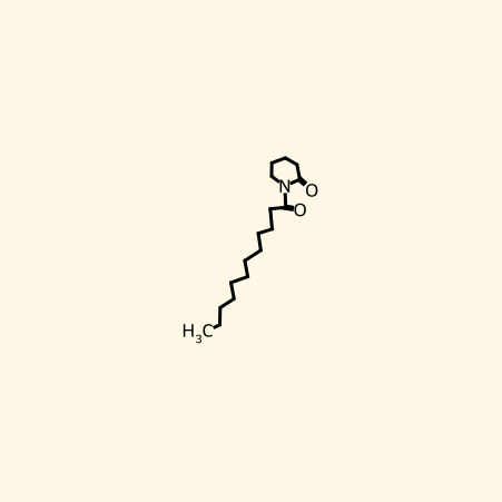 CCCCCCCCCCCC(=O)N1CCCCC1=O